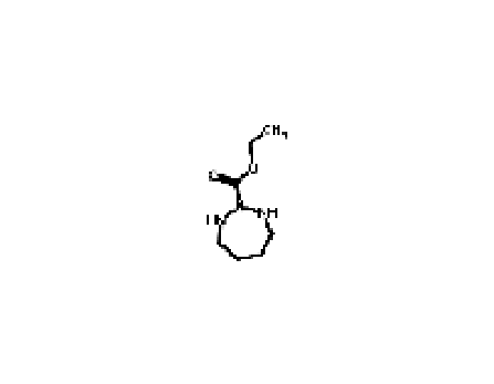 CCOC(=O)N1NCCCCN1